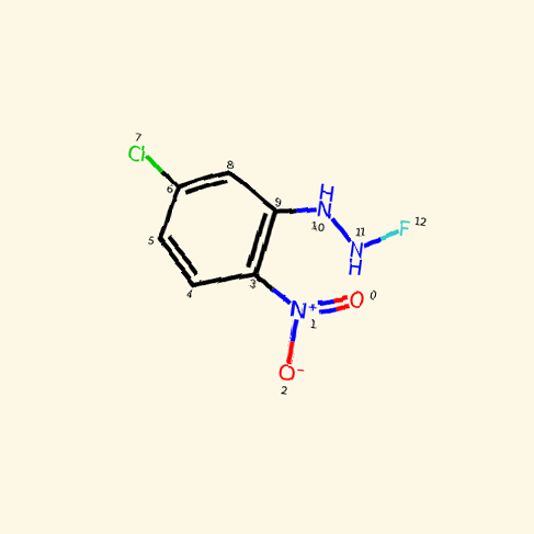 O=[N+]([O-])c1ccc(Cl)cc1NNF